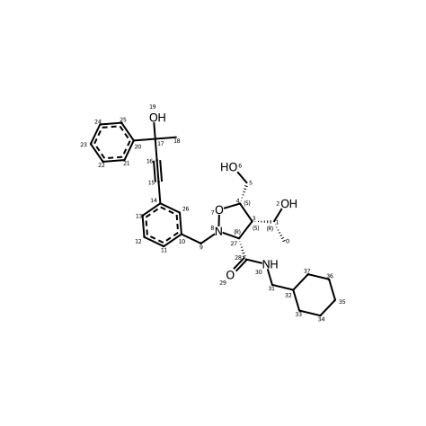 C[C@@H](O)[C@H]1[C@@H](CO)ON(Cc2cccc(C#CC(C)(O)c3ccccc3)c2)[C@H]1C(=O)NCC1CCCCC1